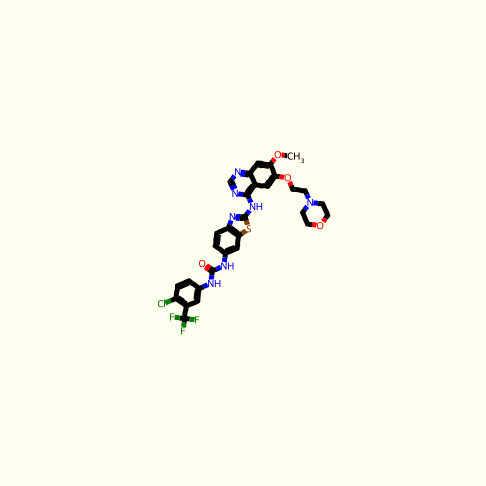 COc1cc2ncnc(Nc3nc4ccc(NC(=O)Nc5ccc(Cl)c(C(F)(F)F)c5)cc4s3)c2cc1OCCN1CCOCC1